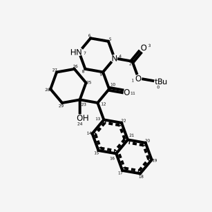 CC(C)(C)OC(=O)N1CCNCC1C(=O)C(c1ccc2ccccc2c1)C1(O)CCCCC1